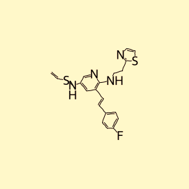 C=CSNc1cnc(NCCc2nccs2)c(/C=C/c2ccc(F)cc2)c1